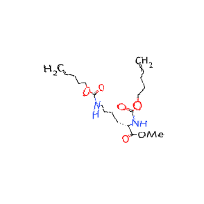 C=CCCCOC(=O)NCCCC[C@H](NC(=O)OCCCC=C)C(=O)OC